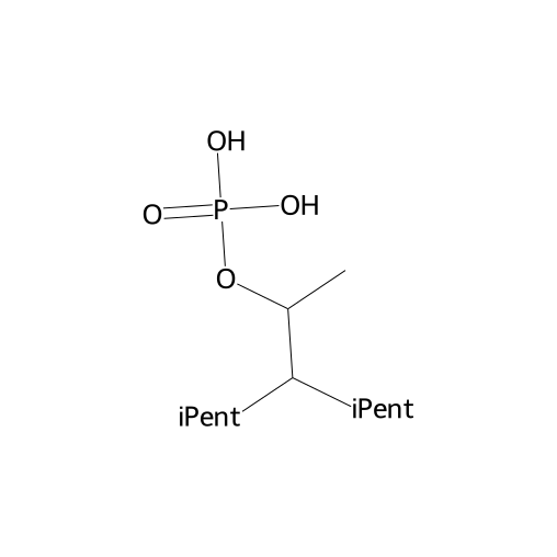 CCCC(C)C(C(C)CCC)C(C)OP(=O)(O)O